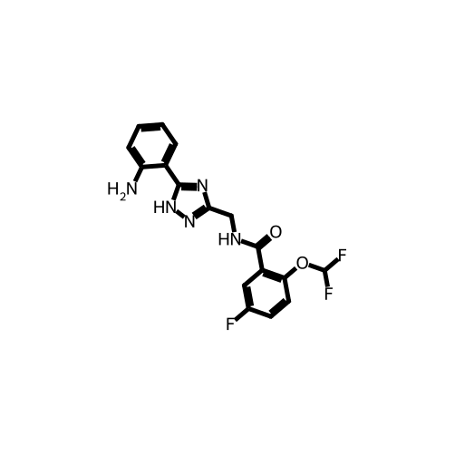 Nc1ccccc1-c1nc(CNC(=O)c2cc(F)ccc2OC(F)F)n[nH]1